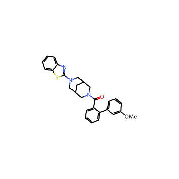 COc1cccc(-c2ccccc2C(=O)N2CC3CC(C2)CN(c2nc4ccccc4s2)C3)c1